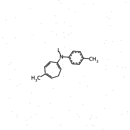 CC1=CCC=C(N(I)c2ccc(C)cc2)C=C1